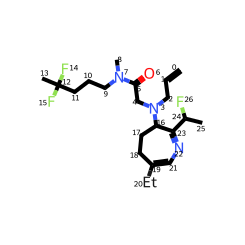 C=CCN(CC(=O)N(C)CCCC(C)(F)F)C1CCC(CC)=CN=C1C(C)F